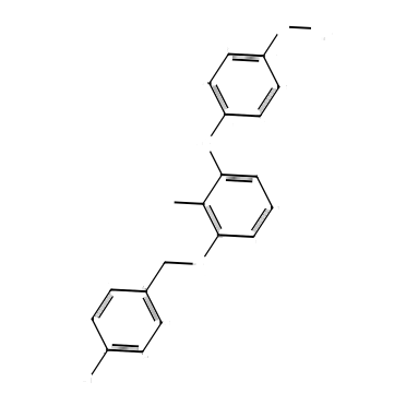 CC(C)(C)c1ccc(COc2cccc(Oc3ccc(OC(F)(F)F)cc3)c2C=O)cc1